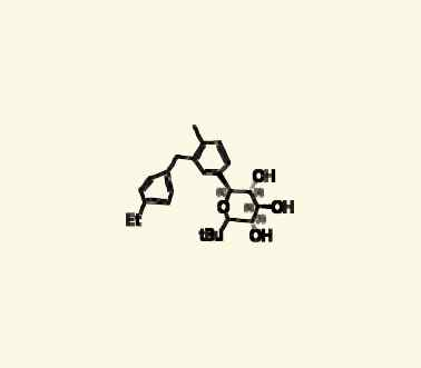 CCc1ccc(Cc2cc([C@@H]3OC(C(C)(C)C)[C@@H](O)[C@H](O)[C@H]3O)ccc2C)cc1